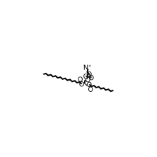 CCCCCCCCCCCCCCCC(=O)O[C@H](COC(=O)CCCCCCCCC)COP(=O)([O-])OCC[N+](C)(C)C